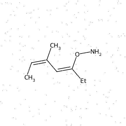 C/C=C(C)\C=C(\CC)ON